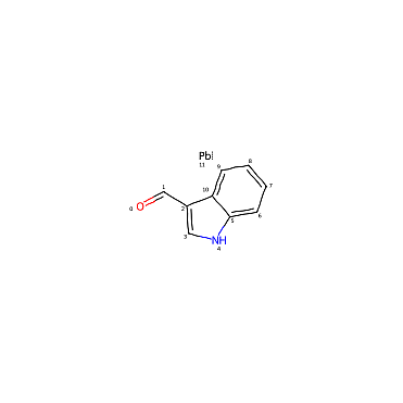 O=Cc1c[nH]c2ccccc12.[Pb]